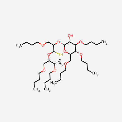 CCCCOCC1O[C@H](O[C@H](COCCCC)[C@@H](S)OC(COCCCC)[C@H](C)OCCCC)[C@H](O)C(OCCCC)[C@@H]1OCCCC